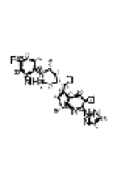 C[C@@H]1C[C@H](C(=O)c2cn(C)c3nc(-n4nccn4)c(Cl)cc23)CCN1c1ccc(F)cc1N